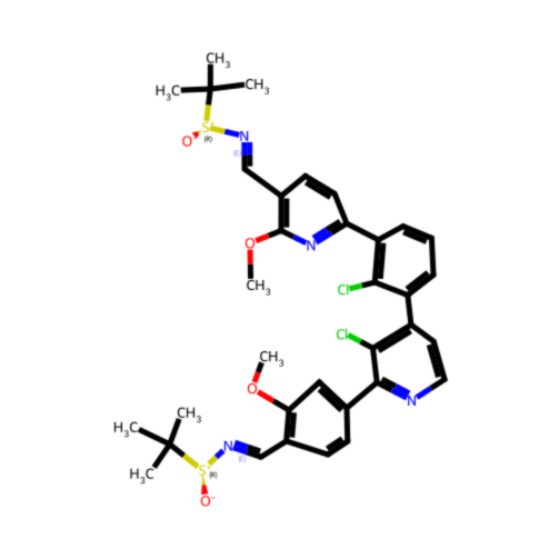 COc1cc(-c2nccc(-c3cccc(-c4ccc(/C=N/[S@@+]([O-])C(C)(C)C)c(OC)n4)c3Cl)c2Cl)ccc1/C=N/[S@@+]([O-])C(C)(C)C